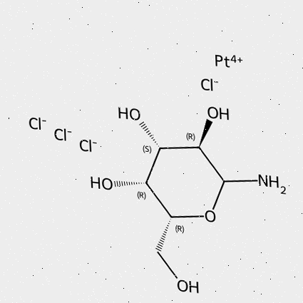 NC1O[C@H](CO)[C@H](O)[C@H](O)[C@H]1O.[Cl-].[Cl-].[Cl-].[Cl-].[Pt+4]